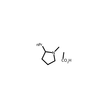 CC(=O)O.CCCC1CCCN1C